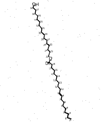 CCCCCCCCC=CCCCCCCCCCC(=O)OCCCCCCCCCCCCCCCCCO